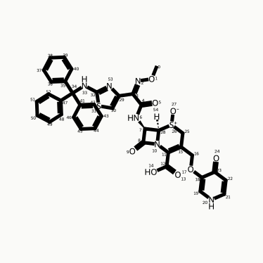 CO/N=C(\C(=O)N[C@@H]1C(=O)N2C(C(=O)O)=C(COc3c[nH]ccc3=O)C[S+]([O-])[C@H]12)c1csc(NC(c2ccccc2)(c2ccccc2)c2ccccc2)n1